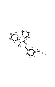 COc1cccc(CCC(c2ccccc2)C(O)c2ccccc2)c1